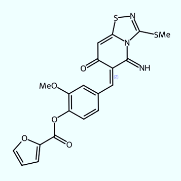 COc1cc(/C=C2/C(=N)N3C(=CC2=O)SN=C3SC)ccc1OC(=O)c1ccco1